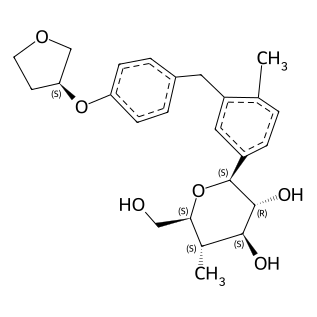 Cc1ccc([C@@H]2O[C@H](CO)[C@@H](C)[C@H](O)[C@H]2O)cc1Cc1ccc(O[C@H]2CCOC2)cc1